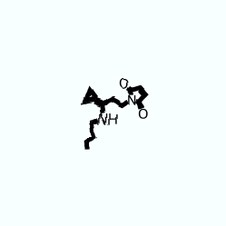 CCCCNC(CCN1C(=O)C=CC1=O)=C1CC1